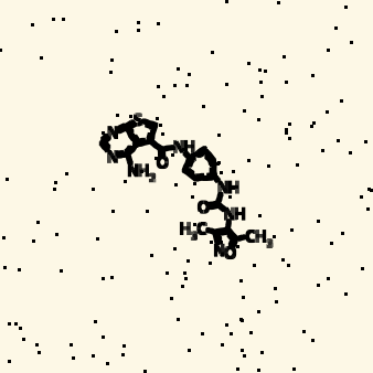 Cc1noc(C)c1NC(=O)Nc1ccc(NC(=O)c2csc3ncnc(N)c23)cc1